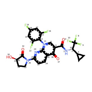 O=C(N[C@@H](C1CC1)C(F)(F)F)c1cn(-c2c(F)cc(F)cc2F)c2nc(N3CC[C@@H](O)C3=O)ccc2c1=O